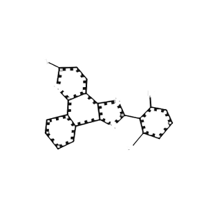 Clc1ccc2c(n1)c1ccccc1c1[nH]c(-c3c(Br)cccc3Br)nc21